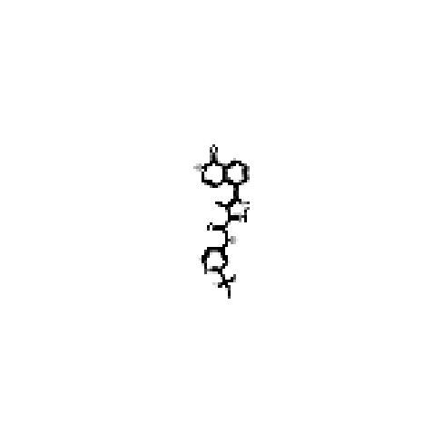 Cc1c(C(=O)Nc2ccnc(C(F)(F)F)c2)noc1-c1cccc2c(=O)[nH]ccc12